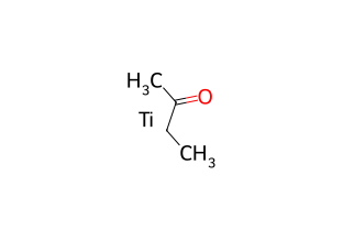 CCC(C)=O.[Ti]